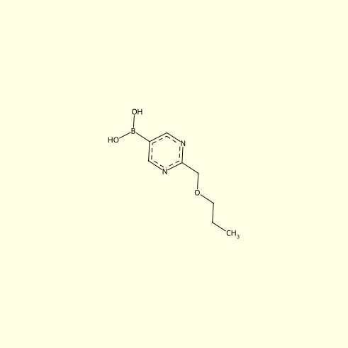 CCCOCc1ncc(B(O)O)cn1